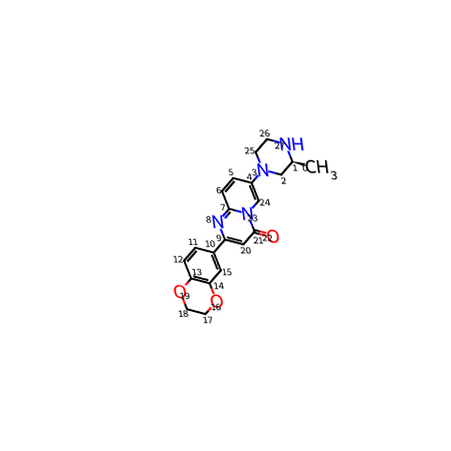 C[C@H]1CN(c2ccc3nc(-c4ccc5c(c4)OCCO5)cc(=O)n3c2)CCN1